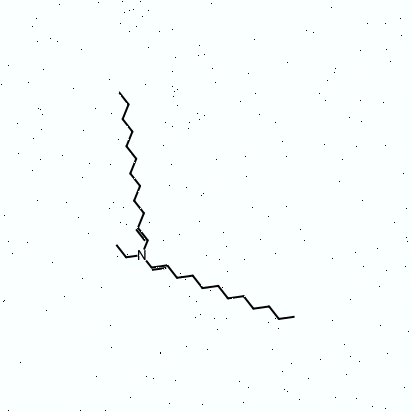 CCCCCCCCCCC=CN(C=CCCCCCCCCCC)CC